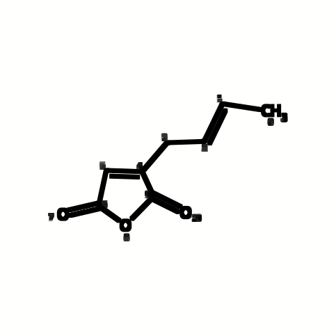 CC=CCC1=CC(=O)OC1=O